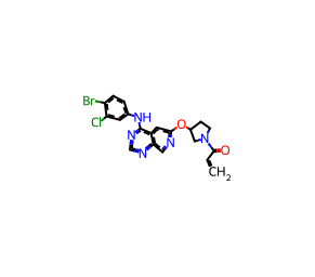 C=CC(=O)N1CCC(Oc2cc3c(Nc4ccc(Br)c(Cl)c4)ncnc3cn2)C1